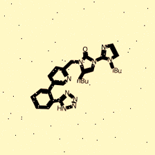 CCCCc1cn(-c2nccn2C(C)CC)c(=O)n1Cc1ccc(-c2ccccc2-c2nnn[nH]2)cn1